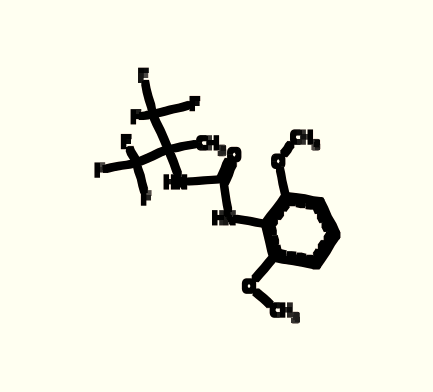 COc1cccc(OC)c1NC(=O)NC(C)(C(F)(F)F)C(F)(F)F